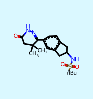 CCCCS(=O)(=O)NC1Cc2ccc(C3=NNC(=O)CC3(C)C)cc2C1